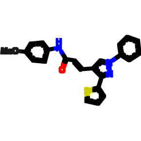 COc1ccc(NC(=O)C=Cc2cn(-c3ccccc3)nc2-c2cccs2)cc1